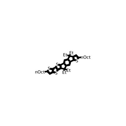 CCCCCCCCc1cc2c(s1)-c1cc3c(cc1C2(CC)CC)-c1sc2c(sc4cc(CCCCCCCC)sc42)c1C3(CC)CC